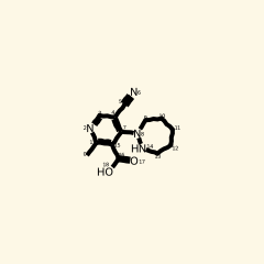 Cc1ncc(C#N)c(N2CCCCCN2)c1C(=O)O